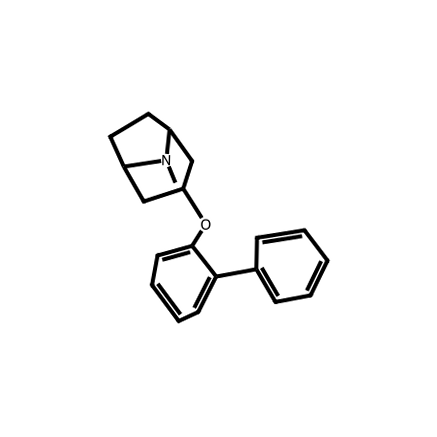 CN1C2CCC1CC(Oc1ccccc1-c1ccccc1)C2